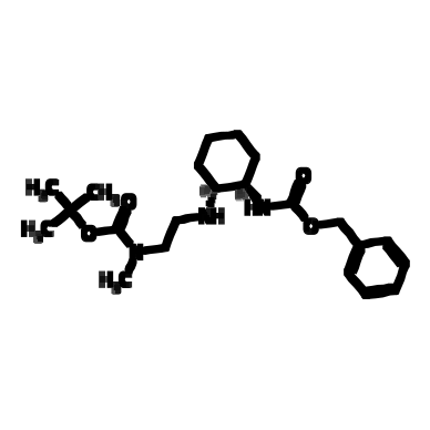 CN(CCN[C@@H]1CCCC[C@H]1NC(=O)OCc1ccccc1)C(=O)OC(C)(C)C